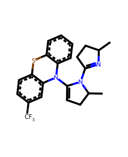 CC1CCC(N2C(N3c4ccccc4Sc4ccc(C(F)(F)F)cc43)=CCC2C)=N1